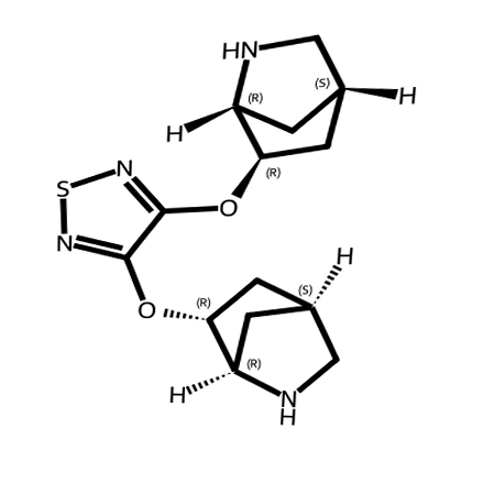 C1N[C@@H]2C[C@H]1C[C@H]2Oc1nsnc1O[C@@H]1C[C@H]2CN[C@@H]1C2